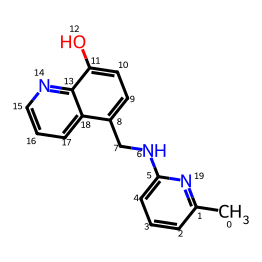 Cc1cccc(NCc2ccc(O)c3ncccc23)n1